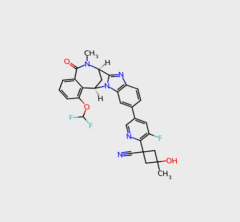 CN1C(=O)c2cccc(OC(F)F)c2[C@H]2C[C@@H]1c1nc3ccc(-c4cnc(C5(C#N)CC(C)(O)C5)c(F)c4)cc3n12